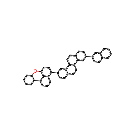 c1ccc2c(c1)Oc1ccc(-c3ccc4ccc5c6cc(-c7ccc8ccccc8c7)ccc6ccc5c4c3)c3cccc-2c13